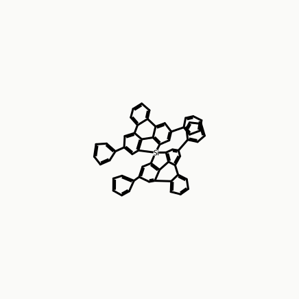 c1ccc(-c2cc3c4c(c2)c2ccccc2c2cc(-c5ccccc5)cc(c24)[Si]32c3cc(-c4ccccc4)cc4c5ccccc5c5cc(-c6ccccc6)cc2c5c34)cc1